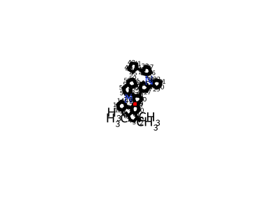 CC1(C)CCC(C)(C)c2c(-c3ccccc3-n3c4cccc(-c5ccc6c(c5)c5ccccc5n6-c5cccc(C6=CC=CCC6)c5)c4c4c5ccccc5ccc43)cccc21